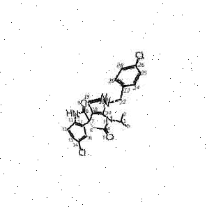 CC(C)N1C(=O)C[C@]2(C(=O)Nc3ccc(Cl)cc32)c2cnn(Cc3ccc(Cl)cc3)c21